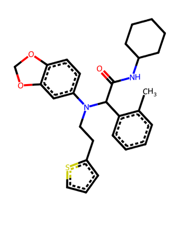 Cc1ccccc1C(C(=O)NC1CCCCC1)N(CCc1cccs1)c1ccc2c(c1)OCO2